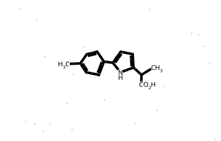 Cc1ccc(-c2ccc(C(C)C(=O)O)[nH]2)cc1